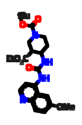 CCOC(=O)C1CN(C(=O)OC(C)(C)C)CCC1NC(=O)Nc1ccnc2ccc(OC)cc12